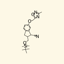 Cc1noc(COc2ccc3c(c2)C(C#N)C(CO[Si](C)(C)C(C)(C)C)C3)n1